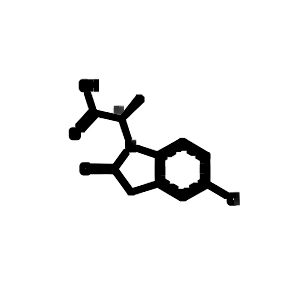 C[C@H](C(=O)O)N1C(=O)Cc2cc(Cl)ccc21